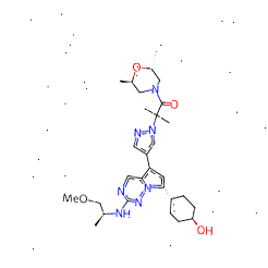 COC[C@H](C)Nc1ncc2c(-c3cnn(C(C)(C)C(=O)N4C[C@@H](C)O[C@H](C)C4)c3)cc([C@H]3CC[C@H](O)CC3)n2n1